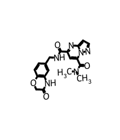 CN(C)C(=O)c1cc(C(=O)NCc2ccc3c(c2)NC(=O)CO3)nc2ccnn12